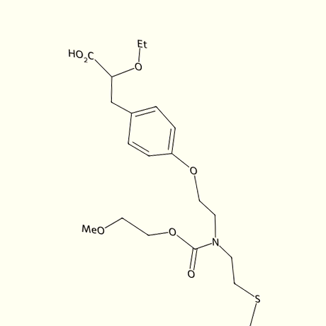 CCCCCSCCN(CCOc1ccc(CC(OCC)C(=O)O)cc1)C(=O)OCCOC